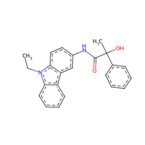 CCn1c2ccccc2c2cc(NC(=O)C(C)(O)c3ccccc3)ccc21